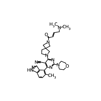 Cc1ccc2[nH]ncc2c1-c1nc(N2CCOCC2)nc(N2CCC3(CN(C(=O)C=CCN(C)C)C3)C2)c1C#N